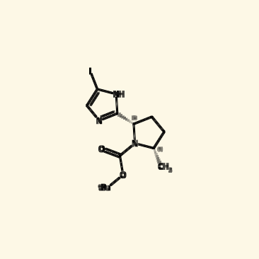 C[C@H]1CC[C@@H](c2ncc(I)[nH]2)N1C(=O)OC(C)(C)C